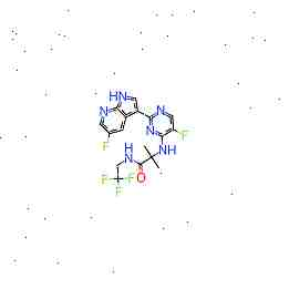 CC(C)(Nc1nc(-c2c[nH]c3ncc(F)cc23)ncc1F)C(=O)NCC(F)(F)F